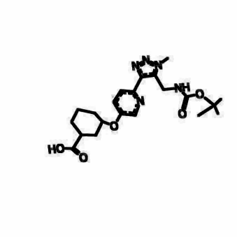 Cn1nnc(-c2ccc(OC3CCCC(C(=O)O)C3)cn2)c1CNC(=O)OC(C)(C)C